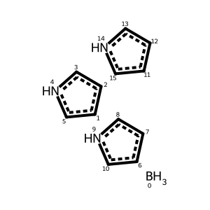 B.c1cc[nH]c1.c1cc[nH]c1.c1cc[nH]c1